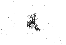 CC(C)Oc1ccc(-c2nn(C(C)c3nc4cccc(F)c4c(=O)n3-c3ccccc3)c3ncnc(N)c23)c(F)c1F